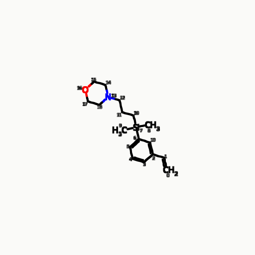 C=Cc1cccc([Si](C)(C)CCCN2CCOCC2)c1